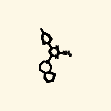 Cc1ccc(-c2cc(N3CCCc4ccccc4C3)nc(N)n2)nc1